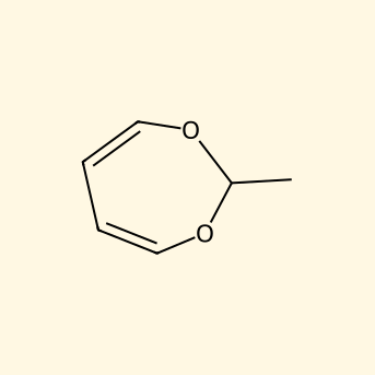 CC1OC=CC=CO1